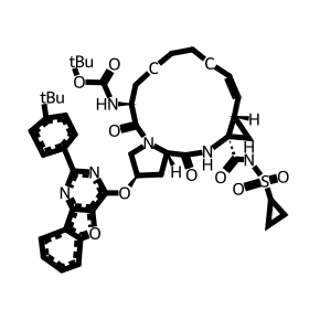 CC(C)(C)OC(=O)N[C@H]1CCCCC/C=C\[C@@H]2C[C@@]2(C(=O)NS(=O)(=O)C2CC2)NC(=O)[C@@H]2C[C@@H](Oc3nc(-c4ccc(C(C)(C)C)cc4)nc4c3oc3ccccc34)CN2C1=O